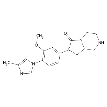 COc1cc(N2CC3CNCCN3C2=O)ccc1-n1cnc(C)c1